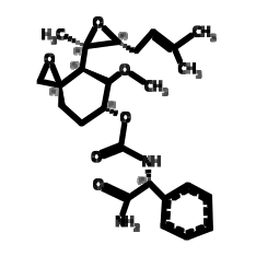 COC1[C@H](OC(=O)N[C@@H](C(N)=O)c2ccccc2)CC[C@]2(CO2)[C@H]1[C@@]1(C)O[C@@H]1CC=C(C)C